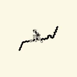 CCCCCC/C=C\CCCCCCCC(=O)O[C@H](COC(=O)CCC/C=C\C/C=C\C/C=C\CCCCCCCC)COP(=O)(O)OCC[N+](C)(C)C